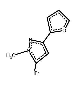 CC(C)c1cc(-c2ccco2)nn1C